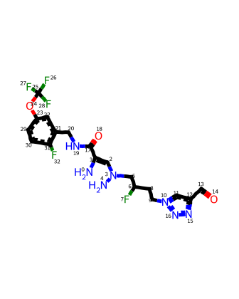 N/C(=C\N(N)CC(F)CCn1cc(C=O)nn1)C(=O)NCc1cc(OC(F)(F)F)ccc1F